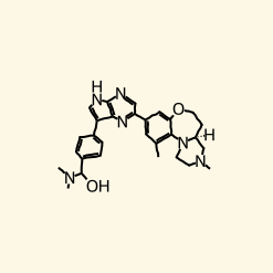 Cc1cc(-c2cnc3[nH]cc(-c4ccc(C(O)N(C)C)cc4)c3n2)cc2c1N1CCN(C)C[C@@H]1CCO2